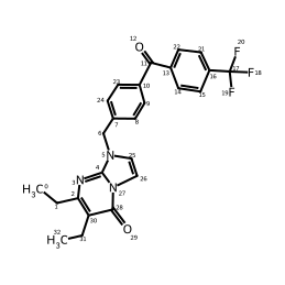 CCc1nc2n(Cc3ccc(C(=O)c4ccc(C(F)(F)F)cc4)cc3)ccn2c(=O)c1CC